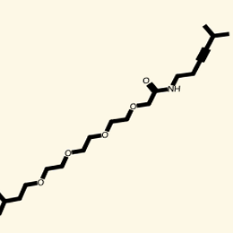 CC(C)C#CCCNC(=O)COCCOCCOCCOCCC(C)C